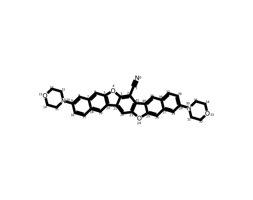 N#Cc1c2oc3cc4cc(N5CCOCC5)ccc4cc3c2cc2oc3cc4cc(N5CCOCC5)ccc4cc3c12